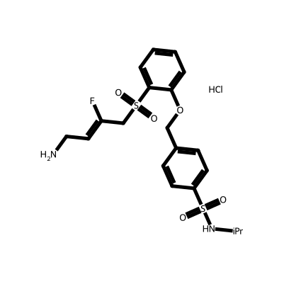 CC(C)NS(=O)(=O)c1ccc(COc2ccccc2S(=O)(=O)CC(F)=CCN)cc1.Cl